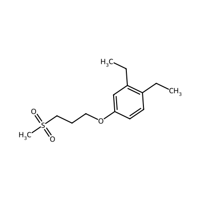 CCc1ccc(OCCCS(C)(=O)=O)cc1CC